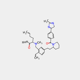 C=CCCC(C(=O)NC)N(C)Cc1cc(CCC2CCCCN2C(=O)c2ccc(C3=NC(C)=NC3)cc2)ccc1C=C